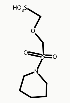 O=S(=O)(O)COCS(=O)(=O)N1CCCCC1